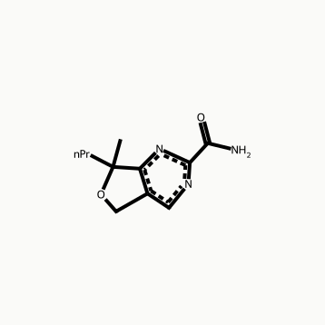 CCCC1(C)OCc2cnc(C(N)=O)nc21